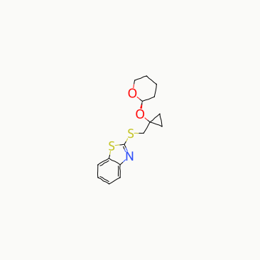 c1ccc2sc(SCC3(O[C@@H]4CCCCO4)CC3)nc2c1